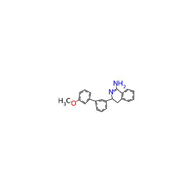 COc1cccc(-c2cccc(C3Cc4ccccc4C(N)=N3)c2)c1